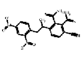 CC(Cc1ccc([N+](=O)[O-])cc1[N+](=O)[O-])c1ccc(C#N)c(C(N)=S)c1C(N)=S